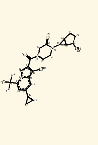 O=C(c1nn2c(C(F)(F)F)cc(C3CC3)cc2c1Cl)N1CCN(C2C3CCC(O)C32)C(=O)C1